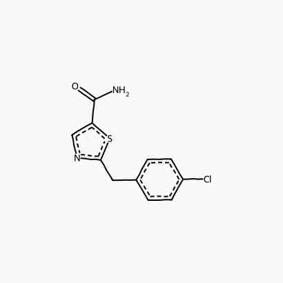 NC(=O)c1cnc(Cc2ccc(Cl)cc2)s1